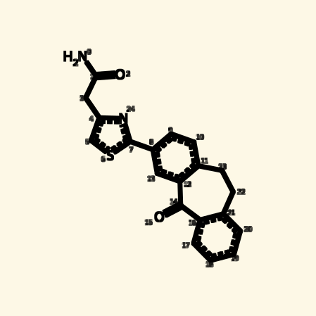 NC(=O)Cc1csc(-c2ccc3c(c2)C(=O)c2ccccc2CC3)n1